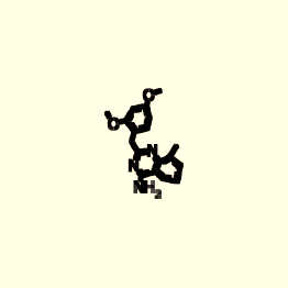 COc1ccc(Cc2nc(N)c3cccc(C)c3n2)c(OC)c1